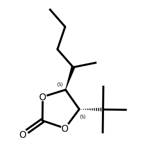 CCCC(C)[C@@H]1OC(=O)O[C@H]1C(C)(C)C